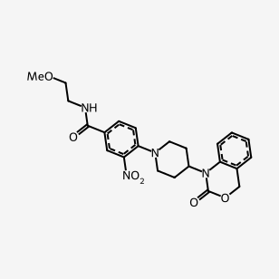 COCCNC(=O)c1ccc(N2CCC(N3C(=O)OCc4ccccc43)CC2)c([N+](=O)[O-])c1